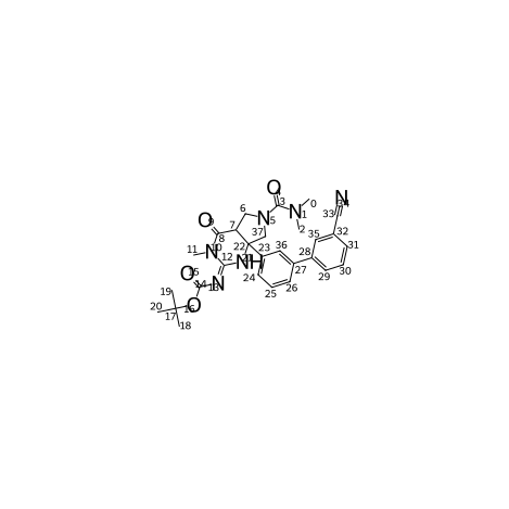 CN(C)C(=O)N1CC2C(=O)N(C)/C(=N\C(=O)OC(C)(C)C)NC2(c2cccc(-c3cccc(C#N)c3)c2)C1